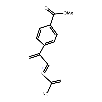 C=C(C#N)/N=C/C(=C)c1ccc(C(=O)OC)cc1